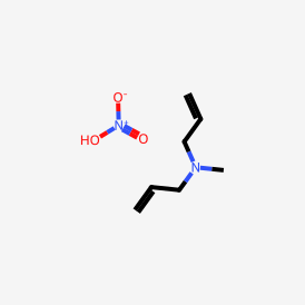 C=CCN(C)CC=C.O=[N+]([O-])O